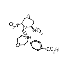 C1COCCN1.CCN1C([N+](=O)[O-])COCC1[N+](=O)[O-].O=C(O)c1ccccc1